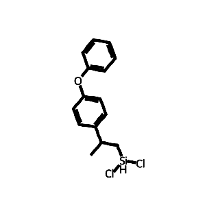 CC(C[SiH](Cl)Cl)c1ccc(Oc2ccccc2)cc1